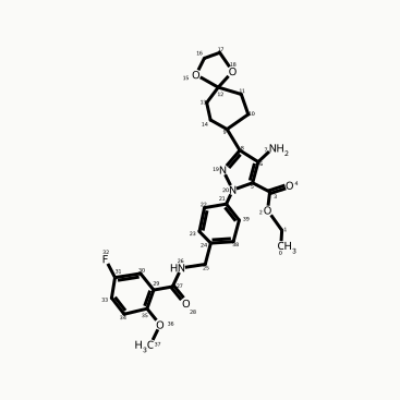 CCOC(=O)c1c(N)c(C2CCC3(CC2)OCCO3)nn1-c1ccc(CNC(=O)c2cc(F)ccc2OC)cc1